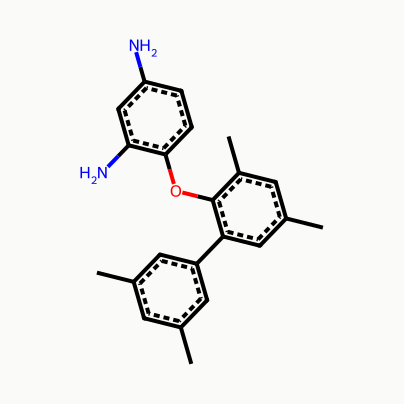 Cc1cc(C)cc(-c2cc(C)cc(C)c2Oc2ccc(N)cc2N)c1